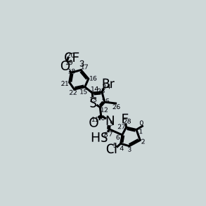 Cc1ccc(Cl)c(C(S)=NC(=O)c2sc(-c3ccc(OC(F)(F)F)cc3)c(Br)c2C)c1F